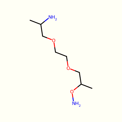 CC(N)COCCOCC(C)ON